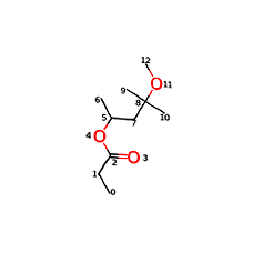 CCC(=O)OC(C)CC(C)(C)OC